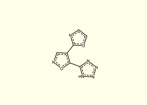 [c]1noc(-c2nnn[nH]2)c1-c1ncco1